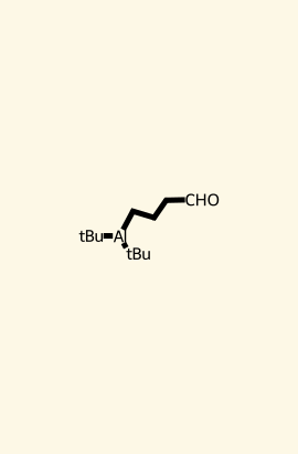 C[C](C)(C)[Al]([CH2]CCC=O)[C](C)(C)C